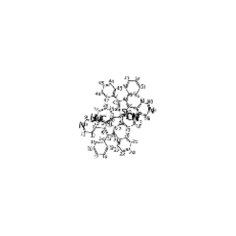 C[Si]1(CC[Si]2(C)C(c3ccncc3)=C(c3ccccc3)C(c3ccccc3)=C2c2ccncc2)C(c2ccncc2)=C(c2ccccc2)C(c2ccccc2)=C1c1ccncc1